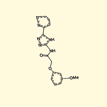 COc1cccc(OCC(=O)Nc2nnc(-c3ccccn3)[nH]2)c1